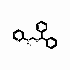 c1ccc(C(OC[SiH2]c2ccccn2)c2ccccc2)cc1